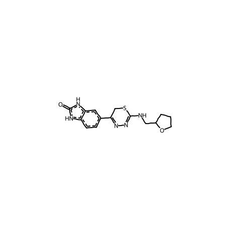 O=c1[nH]c2ccc(C3=NN=C(NCC4CCCO4)SC3)cc2[nH]1